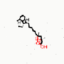 CC[C@H]1[C@H](CCCCCC[C@]2(C)C[C@@](C)(CC(=O)O)OO2)[C@@H]2CC=CC(C)[C@H]12